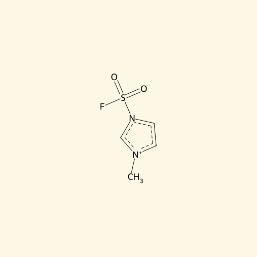 C[n+]1ccn(S(=O)(=O)F)c1